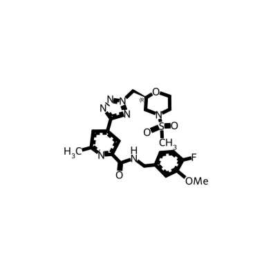 COc1cc(CNC(=O)c2cc(-c3nnn(C[C@@H]4CN(S(C)(=O)=O)CCO4)n3)cc(C)n2)ccc1F